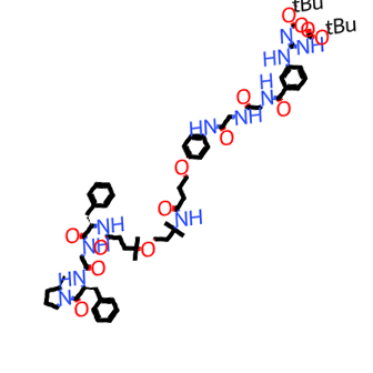 C[C@@H]1CCCN1C(=O)[C@H](Cc1ccccc1)NC(=O)CNC(=O)[C@H](Cc1ccccc1)NC(=O)CCC(C)(C)OCCC(C)(C)NC(=O)CCCOc1ccc(NC(=O)CNC(=O)CNC(=O)c2cccc(N/C(=N/C(=O)OC(C)(C)C)NC(=O)OC(C)(C)C)c2)cc1